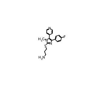 Cn1c(SCCCN)nc(-c2ccc(F)cc2)c1-c1ccncc1